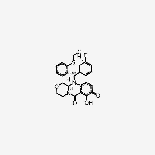 CCSc1ccccc1[C@H](C1C=CC=C(F)C1)N1[C@@H]2COCCN2C(=O)c2c(O)c(=O)ccn21